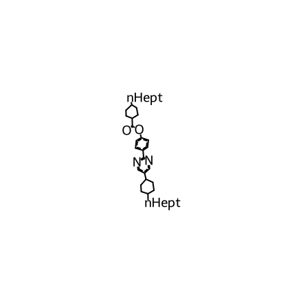 CCCCCCCC1CCC(C(=O)Oc2ccc(-c3ncc(C4CCC(CCCCCCC)CC4)cn3)cc2)CC1